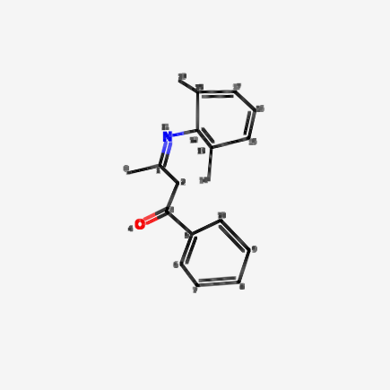 C/C(CC(=O)c1ccccc1)=N/c1c(C)cccc1C